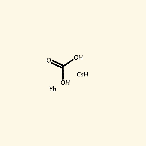 O=C(O)O.[CsH].[Yb]